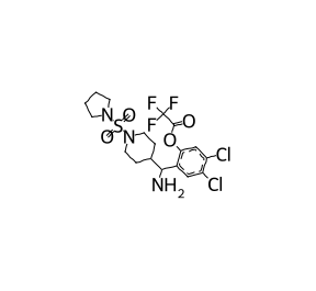 NC(c1cc(Cl)c(Cl)cc1OC(=O)C(F)(F)F)C1CCN(S(=O)(=O)N2CCCC2)CC1